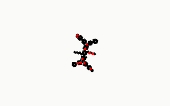 CCCCCCc1cc(-c2ccc(N(c3ccc(-c4ccccc4)cc3)c3ccc(-c4ccc(C(C)(C)C)cc4)cc3)cc2C)c(CCCCCC)cc1-c1ccc(N(c2ccc(-c3ccccc3)cc2)c2ccc(-c3ccc(C(C)(C)C)cc3)cc2)cc1C